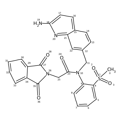 CS(=O)(=O)c1ccccc1N(Cc1ccc2ccc(N)nc2c1)C(=O)CN1C(=O)c2ccccc2C1=O